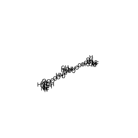 O=C(O)CC(=O)NC(COCCC(=O)NCCOCCOCCOCCOC[C@@]12CO[C@@H](O1)[C@H](Nc1cncc(C(F)(F)F)n1)[C@@H](O)[C@H]2O)COCCC(=O)NCCOCCOCCOCCOC[C@@]12CO[C@@H](O1)[C@H](Nc1cncc(C(F)(F)F)n1)[C@@H](O)[C@H]2O